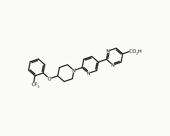 O=C(O)c1cnc(-c2ccc(N3CCC(Oc4ccccc4C(F)(F)F)CC3)nc2)nc1